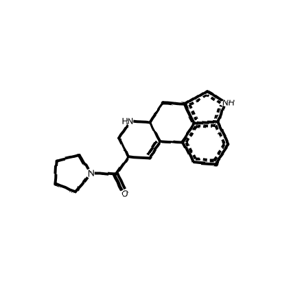 O=C(C1C=C2c3cccc4[nH]cc(c34)CC2NC1)N1CCCC1